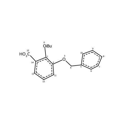 CC(C)COc1c(OCc2ccccc2)cccc1C(=O)O